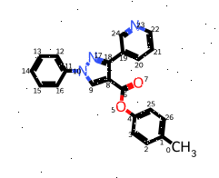 Cc1ccc(OC(=O)c2cn(-c3ccccc3)nc2-c2cccnc2)cc1